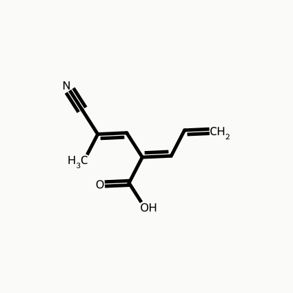 C=C/C=C(\C=C(/C)C#N)C(=O)O